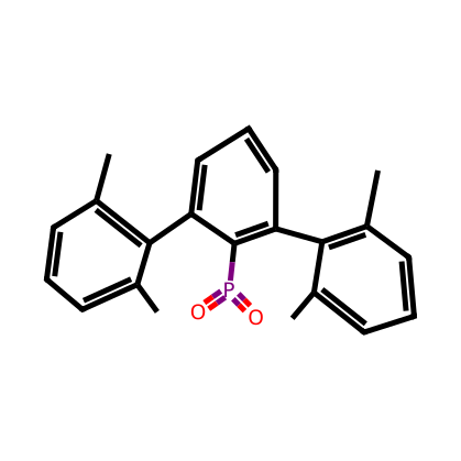 Cc1cccc(C)c1-c1cccc(-c2c(C)cccc2C)c1P(=O)=O